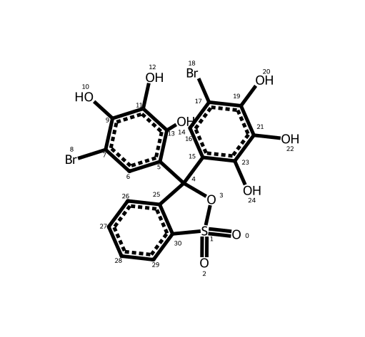 O=S1(=O)OC(c2cc(Br)c(O)c(O)c2O)(c2cc(Br)c(O)c(O)c2O)c2ccccc21